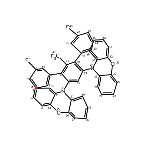 Fc1cccc(-c2c(N3c4ccccc4Oc4ccccc43)cc(N3c4ccccc4Oc4ccccc43)c(-c3cccc(F)c3)c2C(F)(F)F)c1